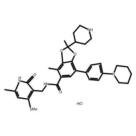 CSc1cc(C)[nH]c(=O)c1CNC(=O)c1cc(-c2ccc(N3CCCCC3)cc2)c2c(c1C)OC(C)(C1CCNCC1)O2.Cl